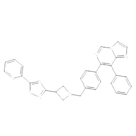 c1ccc(-c2c(-c3ccc(CN4CC(c5n[nH]c(-c6ccccn6)n5)C4)cc3)ncn3ccnc23)cc1